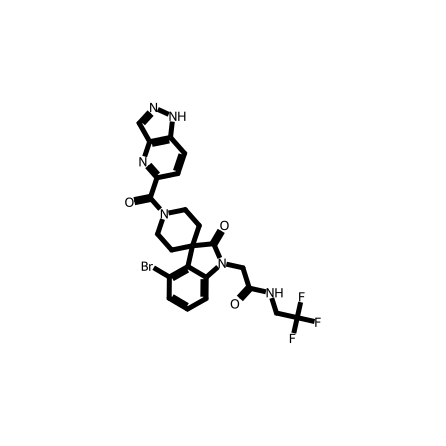 O=C(CN1C(=O)C2(CCN(C(=O)c3ccc4[nH]ncc4n3)CC2)c2c(Br)cccc21)NCC(F)(F)F